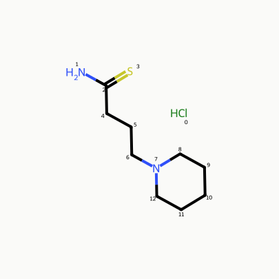 Cl.NC(=S)CCCN1CCCCC1